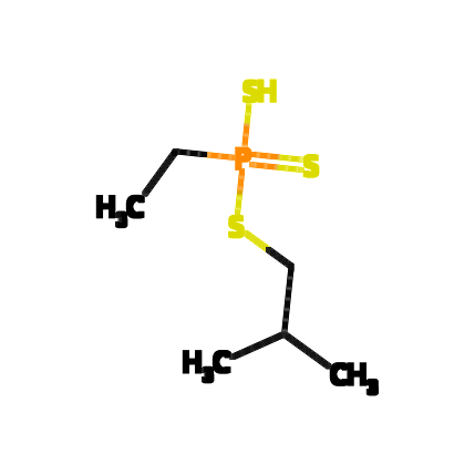 CCP(=S)(S)SCC(C)C